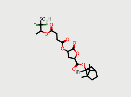 CC(C)C1(OC(=O)C2CC(OC(=O)CCC(=O)OC(C)C(F)(F)S(=O)(=O)O)C(=O)O2)CC2CCC1(C)C2(C)C